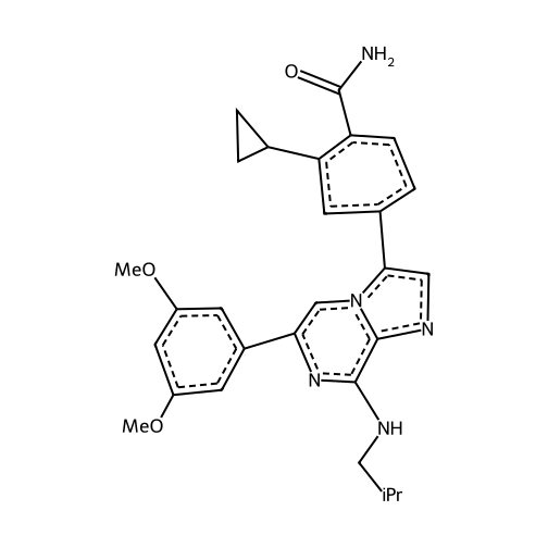 COc1cc(OC)cc(-c2cn3c(-c4ccc(C(N)=O)c(C5CC5)c4)cnc3c(NCC(C)C)n2)c1